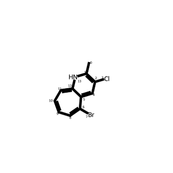 CC1=C(Cl)C=C2C(Br)=CC=CC=C2N1